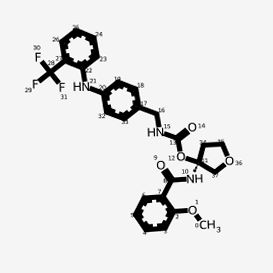 COc1ccccc1C(=O)N[C@]1(OC(=O)NCc2ccc(Nc3ccccc3C(F)(F)F)cc2)CCOC1